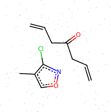 C=CCC(=O)CC=C.Cc1conc1Cl